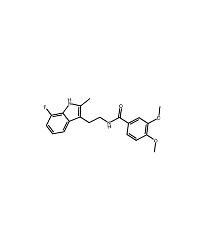 COc1ccc(C(=O)NCCc2c(C)[nH]c3c(F)cccc23)cc1OC